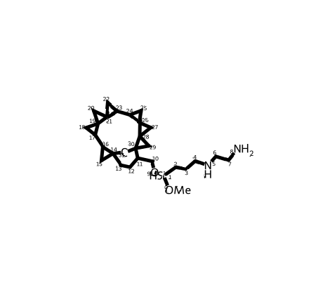 CO[SiH](CCCNCCN)OCC1CCC23CC2C2CC24CC42CC2C2CC24CC42CC12C3